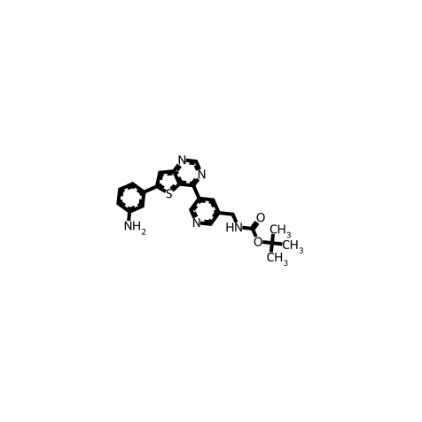 CC(C)(C)OC(=O)NCc1cncc(-c2ncnc3cc(-c4cccc(N)c4)sc23)c1